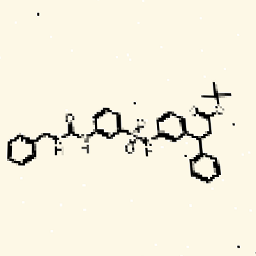 CC(C)(C)OC(=O)CC(c1ccccc1)c1cccc(NS(=O)(=O)c2cccc(NC(=O)NCc3ccccc3)c2)c1